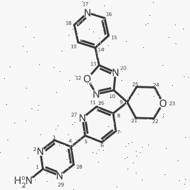 Nc1ncc(-c2ccc(C3(c4noc(-c5ccncc5)n4)CCOCC3)cn2)cn1